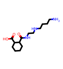 NCCCCNCCNC(=O)C1CCCCC1C(=O)O